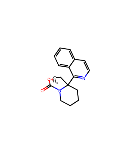 CCC1(c2nccc3ccccc23)CCCCN1C(=O)O